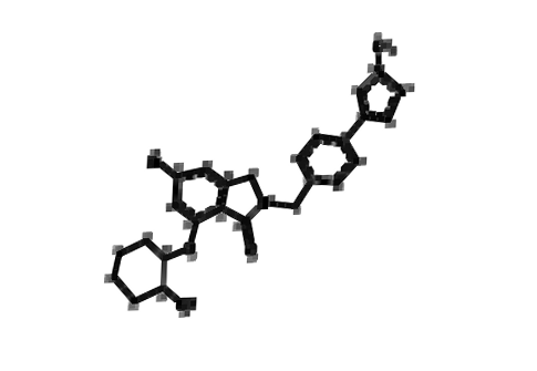 Cn1cc(-c2ccc(CN3Cc4cc(Br)cc(OC5CCCCC5O)c4C3=O)cc2)cn1